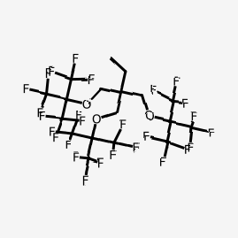 CCC(COC(C(F)(F)F)(C(F)(F)F)C(F)(F)F)(COC(C(F)(F)F)(C(F)(F)F)C(F)(F)F)COC(C(F)(F)F)(C(F)(F)F)C(F)(F)F